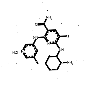 Cc1cncc(Nc2nc(NC3CCCCC3N)c(Cl)cc2C(N)=O)c1.Cl